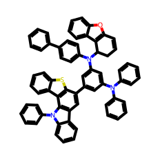 C1=Cc2oc3ccccc3c2C(N(c2ccc(-c3ccccc3)cc2)c2cc(-c3cc4c5ccccc5n(-c5ccccc5)c4c4c3sc3ccccc34)cc(N(c3ccccc3)c3ccccc3)c2)C1